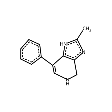 Cc1nc2c([nH]1)C(c1ccccc1)=CNC2